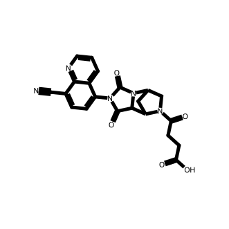 N#Cc1ccc(N2C(=O)C3C4CC(CN4C(=O)CCC(=O)O)N3C2=O)c2cccnc12